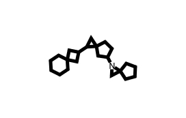 C1CCC2(CC1)CC(C1CC13CCC(N1CC14CCCC4)C3)C2